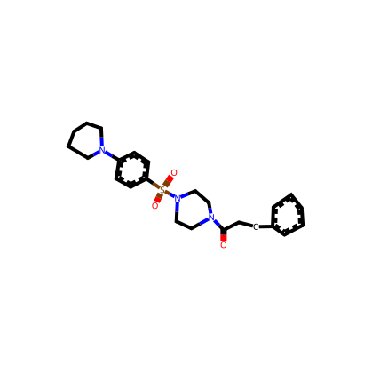 O=C(CCc1ccccc1)N1CCN(S(=O)(=O)c2ccc(N3CCCCC3)cc2)CC1